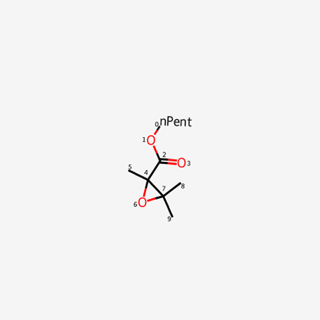 CCCCCOC(=O)C1(C)OC1(C)C